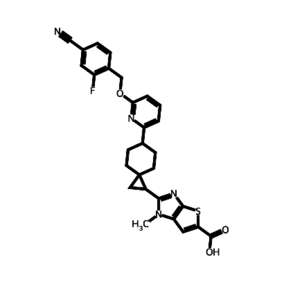 Cn1c(C2CC23CCC(c2cccc(OCc4ccc(C#N)cc4F)n2)CC3)nc2sc(C(=O)O)cc21